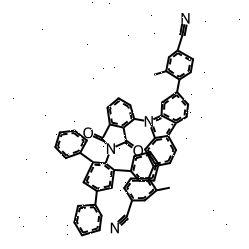 Cc1cc(C#N)ccc1-c1ccc2c3ccc(-c4ccc(C#N)cc4C)cc3n(-c3cccc4c3C(=O)N(c3c(-c5ccccc5)cc(-c5ccccc5)cc3-c3ccccc3)C4=O)c2c1